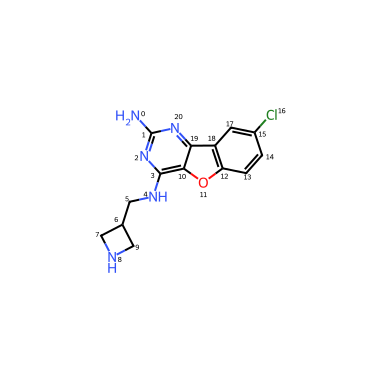 Nc1nc(NCC2CNC2)c2oc3ccc(Cl)cc3c2n1